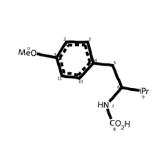 COc1ccc(CC(NC(=O)O)C(C)C)cc1